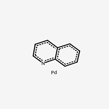 [Pd].c1ccc2ncccc2c1